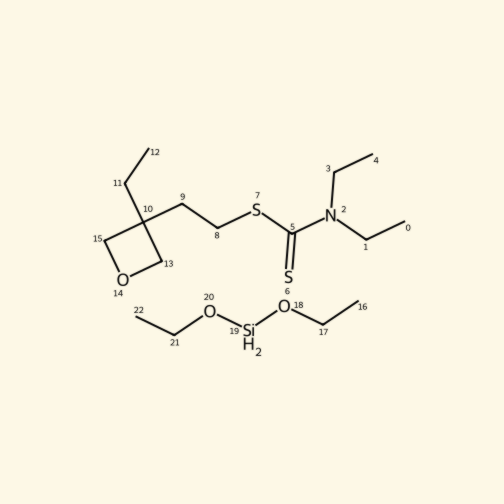 CCN(CC)C(=S)SCCC1(CC)COC1.CCO[SiH2]OCC